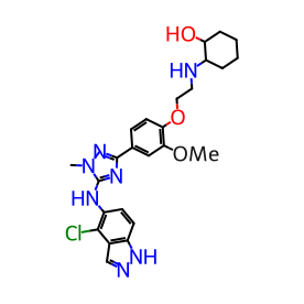 COc1cc(-c2nc(Nc3ccc4[nH]ncc4c3Cl)n(C)n2)ccc1OCCNC1CCCCC1O